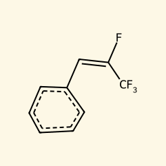 F/C(=C/c1ccccc1)C(F)(F)F